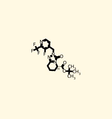 CC(C)(C)OC(=O)[C@@H]1CCCc2nn(Cc3ccnc(C(F)(F)F)c3F)c(=O)n21